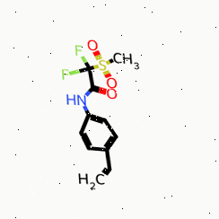 C=Cc1ccc(NC(=O)C(F)(F)S(C)(=O)=O)cc1